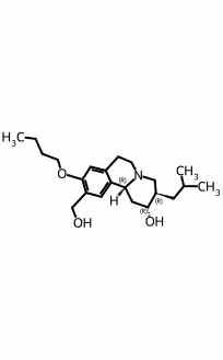 CCCCOc1cc2c(cc1CO)[C@H]1C[C@@H](O)[C@H](CC(C)C)CN1CC2